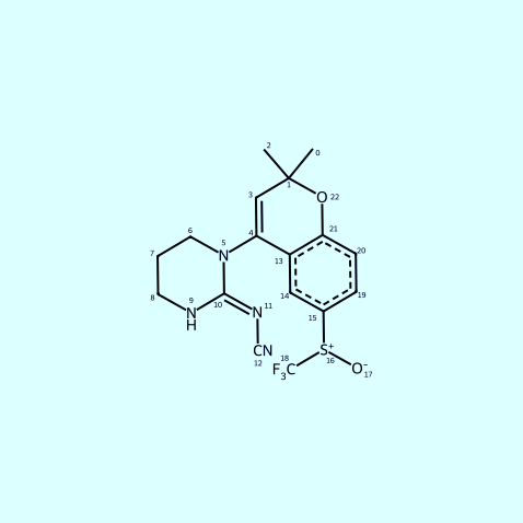 CC1(C)C=C(N2CCCNC2=NC#N)c2cc([S+]([O-])C(F)(F)F)ccc2O1